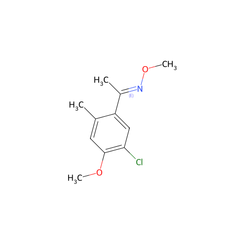 CO/N=C(\C)c1cc(Cl)c(OC)cc1C